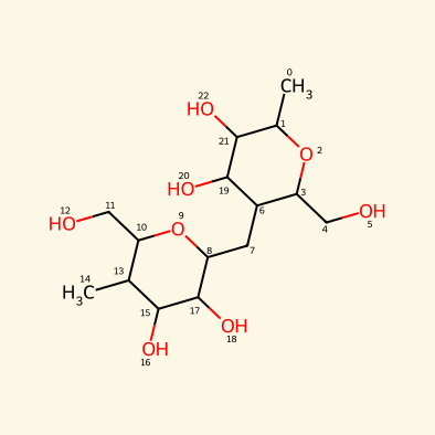 CC1OC(CO)C(CC2OC(CO)C(C)C(O)C2O)C(O)C1O